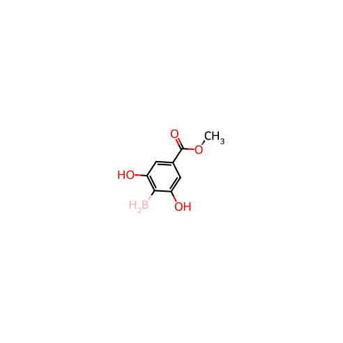 Bc1c(O)cc(C(=O)OC)cc1O